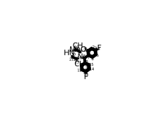 COc1cc(F)ccc1C(c1ccc(F)cc1)N1C[C@H](C)NC[C@H]1C